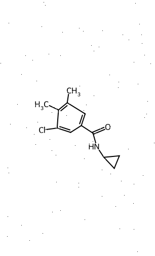 Cc1cc(C(=O)NC2CC2)cc(Cl)c1C